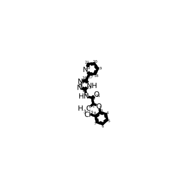 CC(Oc1ccccc1Cl)C(=O)Nc1nnc(-c2ccccn2)[nH]1